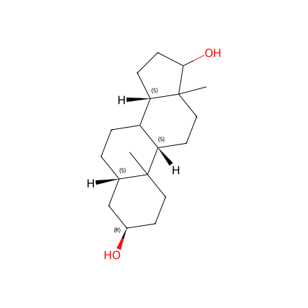 CC12CC[C@H]3C(CC[C@H]4C[C@H](O)CCC43C)[C@@H]1CCC2O